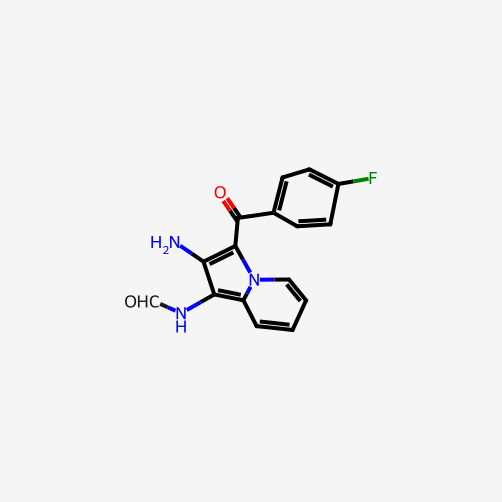 Nc1c(NC=O)c2ccccn2c1C(=O)c1ccc(F)cc1